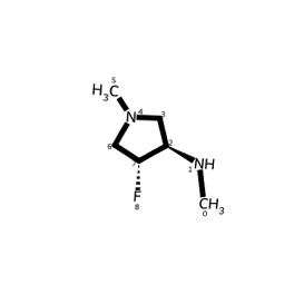 CN[C@@H]1CN(C)C[C@H]1F